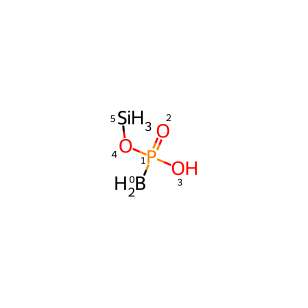 BP(=O)(O)O[SiH3]